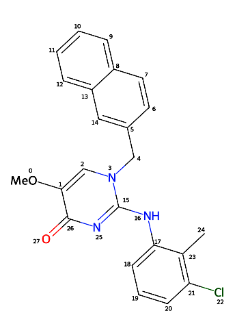 COc1cn(Cc2ccc3ccccc3c2)c(Nc2cccc(Cl)c2C)nc1=O